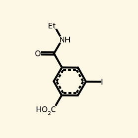 CCNC(=O)c1cc(I)cc(C(=O)O)c1